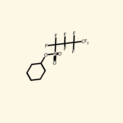 O=S(=O)(OC1CCCCC1)C(F)(F)C(F)(F)C(F)(F)C(F)(F)F